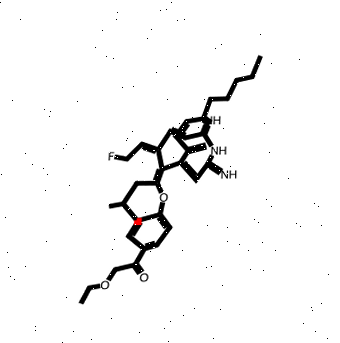 C=C(/C=C\C(=C)C1=C/C(=N)NC(=N)/C=C/C(=C/CF)C/1=C(\CC(C)C)Oc1ccc(C(=O)COCC)cc1)CCCCC